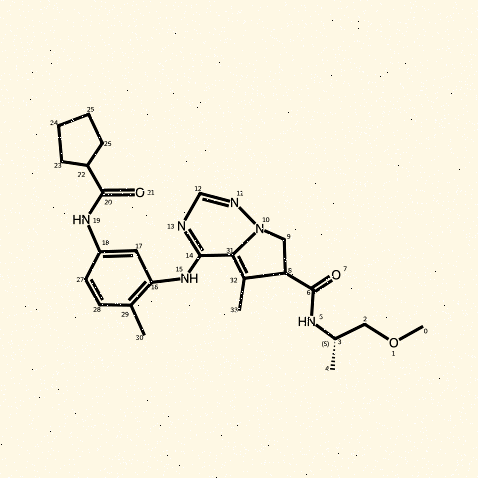 COC[C@H](C)NC(=O)C1CN2N=CN=C(Nc3cc(NC(=O)C4CCCC4)ccc3C)C2=C1C